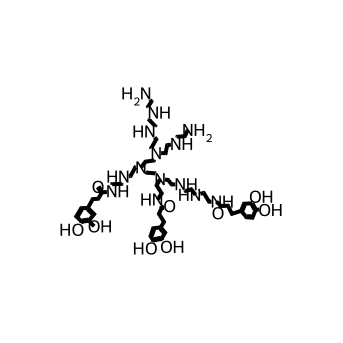 NCCNCCNCCN(CCNCCN)CCN(CCNCCNC(=O)CCc1ccc(O)c(O)c1)CCN(CCNCCNCCNC(=O)CCc1ccc(O)c(O)c1)CCNC(=O)CCc1ccc(O)c(O)c1